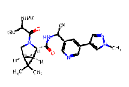 CC(=O)NC(C(=O)N1C[C@H]2[C@@H]([C@H]1C(=O)NC(C#N)c1cncc(-c3cnn(C)c3)c1)C2(C)C)C(C)(C)C